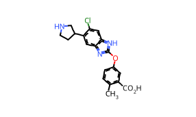 Cc1ccc(Oc2nc3cc(C4CCNC4)c(Cl)cc3[nH]2)cc1C(=O)O